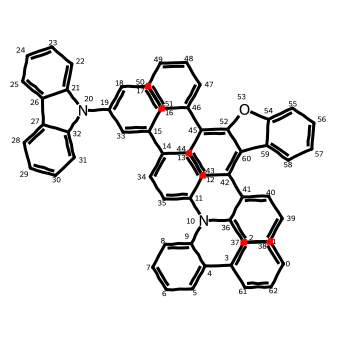 c1ccc(-c2ccccc2N(c2ccc(-c3cccc(-n4c5ccccc5c5ccccc54)c3)cc2)c2ccccc2-c2ccc(-c3ccccc3)c3oc4ccccc4c23)cc1